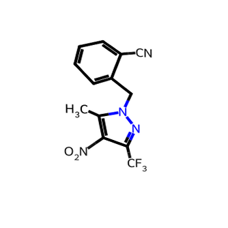 Cc1c([N+](=O)[O-])c(C(F)(F)F)nn1Cc1ccccc1C#N